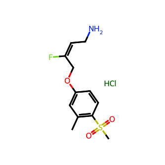 Cc1cc(OC/C(F)=C\CN)ccc1S(C)(=O)=O.Cl